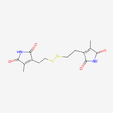 CC1=C(CCSSCCC2=C(C)C(=O)NC2=O)C(=O)NC1=O